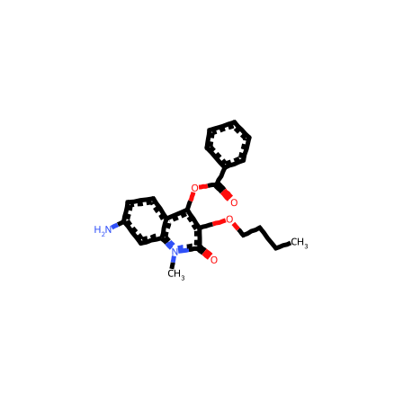 CCCCOc1c(OC(=O)c2ccccc2)c2ccc(N)cc2n(C)c1=O